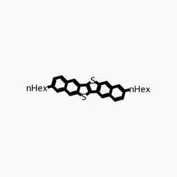 CCCCCCc1ccc2cc3c(cc2c1)sc1c2cc4ccc(CCCCCC)cc4cc2sc31